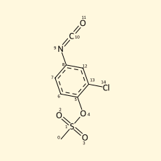 CS(=O)(=O)Oc1ccc(N=C=O)cc1Cl